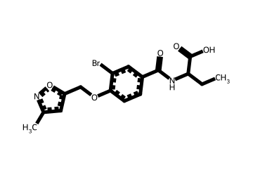 CCC(NC(=O)c1ccc(OCc2cc(C)no2)c(Br)c1)C(=O)O